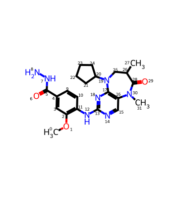 COc1cc(C(=O)NN)ccc1Nc1ncc2c(n1)N(C1CCCC1)CC(C)C(=O)N2C